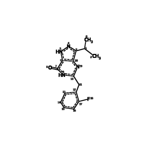 CC(C)c1n[nH]c2c(=O)[nH]c(Cc3ccccc3F)nc12